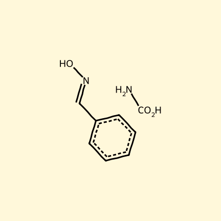 NC(=O)O.ON=Cc1ccccc1